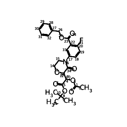 CC(=O)O[C@@H](C(=O)OC(C)(C)C)[C@H]1OCCN(c2ccc(F)c(C(=O)OCc3ccccc3)c2)C1=O